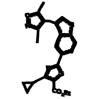 CCOC(=O)c1sc(-c2ccn3ncc(-c4c(C)noc4C)c3c2)nc1C1CC1